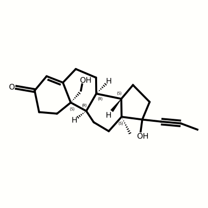 CC#CC1(O)CC[C@H]2[C@@H]3CCC4=CC(=O)CC[C@]4(CO)[C@@H]3CC[C@@]21C